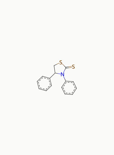 S=C1SCC(c2ccccc2)N1c1ccccc1